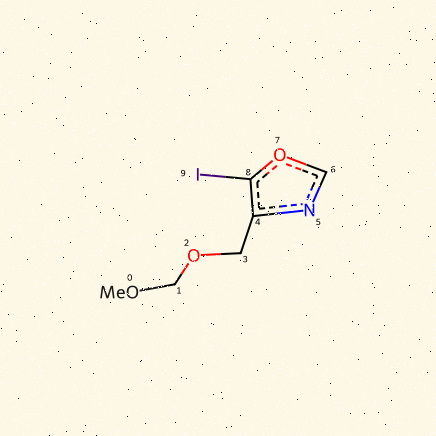 COCOCc1ncoc1I